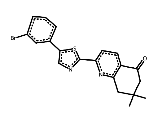 CC1(C)CC(=O)c2ccc(-c3ncc(-c4cccc(Br)c4)s3)nc2C1